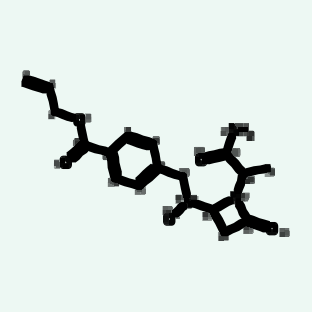 C=CCOC(=O)c1ccc(C[S+]([O-])C2CC(=O)N2C(C)C(N)=O)cc1